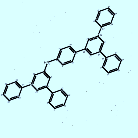 c1ccc(-c2cc(Nc3ccc(-c4cc(-c5ccccc5)cc(-c5ccccc5)c4)cc3)cc(-c3ccccc3)c2)cc1